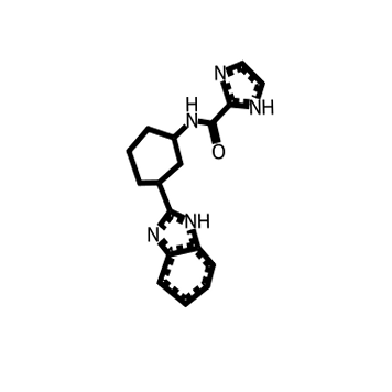 O=C(NC1CCCC(c2nc3ccccc3[nH]2)C1)c1ncc[nH]1